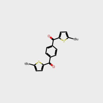 CC(C)(C)c1ccc(C(=O)c2ccc(C(=O)c3ccc(C(C)(C)C)s3)cc2)s1